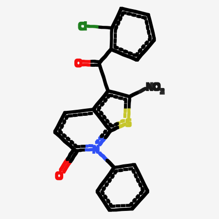 O=C(c1ccccc1Cl)c1c([N+](=O)[O-])sc2c1ccc(=O)n2-c1ccccc1